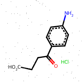 Cl.Nc1ccc(C(=O)CCC(=O)O)cc1